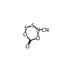 N#Cn1oc(=O)oss1